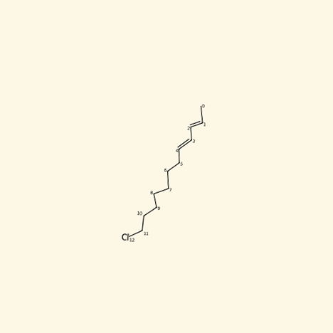 C/C=C/C=C/CCCCCCCCl